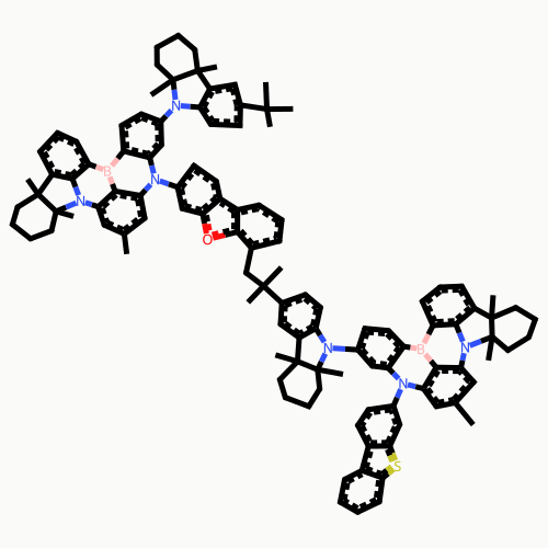 Cc1cc2c3c(c1)N1c4c(cccc4C4(C)CCCCC14C)B3c1ccc(N3c4ccc(C(C)(C)C)cc4C4(C)CCCCC34C)cc1N2c1ccc2c(c1)oc1c(CC(C)(C)c3ccc4c(c3)C3(C)CCCCC3(C)N4c3ccc4c(c3)N(c3ccc5c(c3)sc3ccccc35)c3cc(C)cc5c3B4c3cccc4c3N5C3(C)CCCCC43C)cccc12